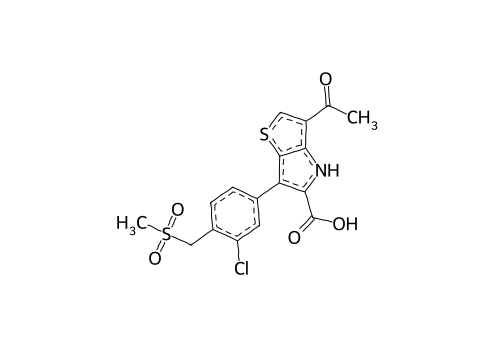 CC(=O)c1csc2c(-c3ccc(CS(C)(=O)=O)c(Cl)c3)c(C(=O)O)[nH]c12